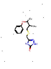 CC(C)(C)C(CSCc1n[nH]c(=O)[nH]1)C(Oc1ccccc1)C(C)(C)C